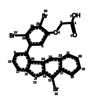 O=C(O)COc1cc(-c2cccc3sc4c(Br)c5ccccc5cc4c23)c(Br)cc1Br